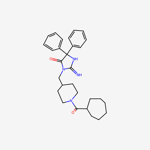 N=C1NC(c2ccccc2)(c2ccccc2)C(=O)N1CC1CCN(C(=O)C2CCCCCC2)CC1